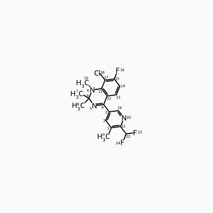 Cc1cc(C2=NC(C)(C)N(C)c3c2ccc(F)c3Cl)cnc1C(F)F